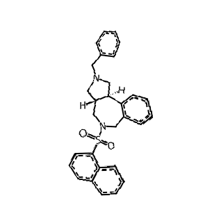 O=S(=O)(c1cccc2ccccc12)N1Cc2ccccc2[C@@H]2CN(Cc3ccccc3)C[C@H]2C1